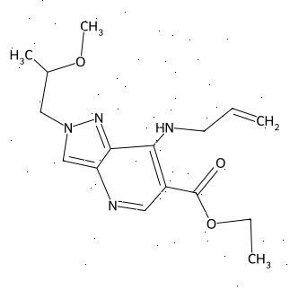 C=CCNc1c(C(=O)OCC)cnc2cn(CC(C)OC)nc12